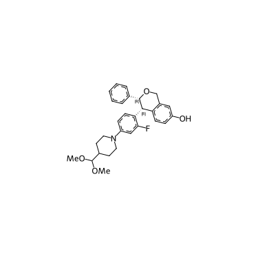 COC(OC)C1CCN(c2ccc([C@H]3c4ccc(O)cc4CO[C@H]3c3ccccc3)c(F)c2)CC1